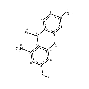 CCCN(c1ccc(C)cc1)c1c([N+](=O)[O-])cc([N+](=O)[O-])cc1C(F)(F)F